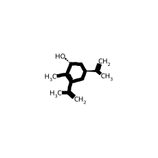 C=C(C)C1=C(C)[C@H](O)C[C@@H](C(=C)C)C1